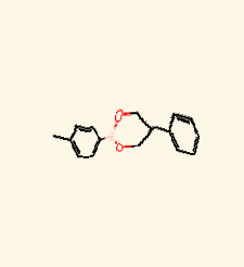 Cc1ccc(B2OCC(c3ccccc3)CO2)cc1